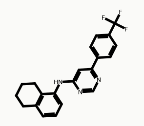 FC(F)(F)c1ccc(-c2cc(Nc3cccc4c3CCCC4)ncn2)cc1